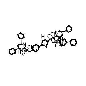 CC(C)(CC(C)(c1ccc(-c2ccc(CC(C)(C)c3nc(-c4ccccc4)cc(-c4ccccc4)n3)cc2)nc1)C(C)(C)c1ncc(-c2ccccc2)cn1)c1ccc(-c2ccccc2)cn1